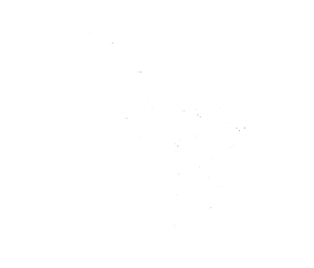 CCc1ccc(-c2c(Cl)ncnc2NS(=O)(=O)c2ccc(C3CCCC3)cc2)cc1